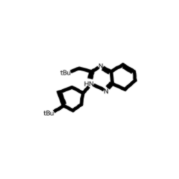 C=C(CC(C)(C)C)/N=C1/C=CCC/C1=N/NC1CC=C(C(C)(C)C)CC1